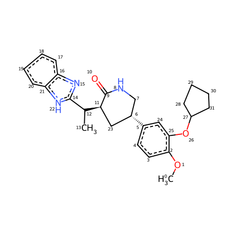 COc1ccc([C@H]2CNC(=O)[C@H](C(C)c3nc4ccccc4[nH]3)C2)cc1OC1CCCC1